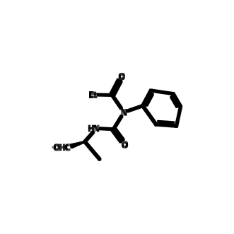 CCC(=O)N(C(=O)N[C@@H](C)[C]=O)c1ccccc1